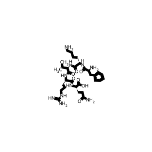 CC(C)[C@H](NC(=O)[C@H](CCCCN)NC(=O)[C@@H](N)Cc1ccccc1)C(=O)N[C@@H](CCCNC(=N)N)C(=O)N[C@@H](CCC(N)=O)C(=O)O